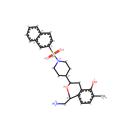 Cc1ccc2c(c1O)CC(C1CCN(S(=O)(=O)c3ccc4ccccc4c3)CC1)OC2CN